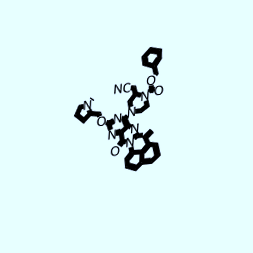 C=Cc1cccc2cccc(-n3c(C)nc4c(N5CCN(C(=O)OCc6ccccc6)C(CC#N)C5)nc(OCC5CCCN5C)nc4c3=O)c12